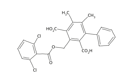 Cc1c(C)c(-c2ccccc2)c(C(=O)O)c(COC(=O)c2c(Cl)cccc2Cl)c1C(=O)O